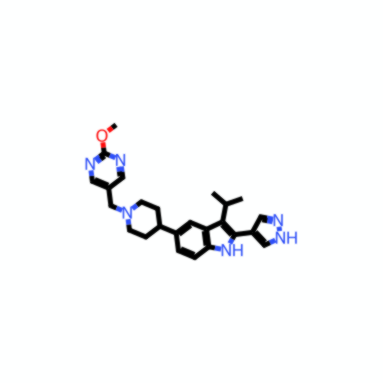 COc1ncc(CN2CCC(c3ccc4[nH]c(-c5cn[nH]c5)c(C(C)C)c4c3)CC2)cn1